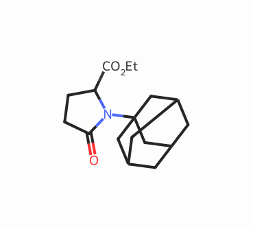 CCOC(=O)C1CCC(=O)N1C12CC3CC(CC(C3)C1)C2